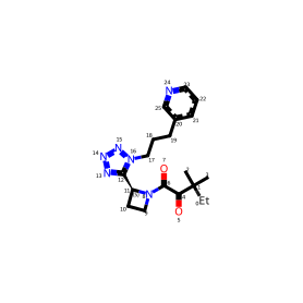 CCC(C)(C)C(=O)C(=O)N1CC[C@H]1c1nnnn1CCCc1cccnc1